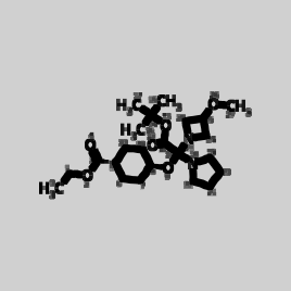 CCOC(=O)[C@H]1CC[C@H](OC(C(=O)OC(C)(C)C)(N2CCCC2)N2CC(OC)C2)CC1